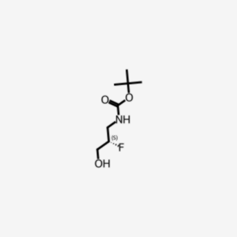 CC(C)(C)OC(=O)NC[C@H](F)CO